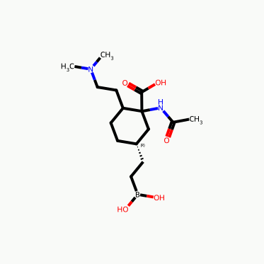 CC(=O)NC1(C(=O)O)C[C@H](CCB(O)O)CCC1CCN(C)C